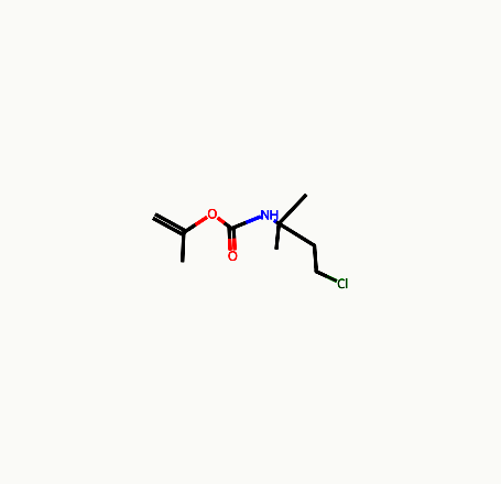 C=C(C)OC(=O)NC(C)(C)CCCl